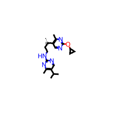 Cc1nc(NCC[C@H](C)c2cnc(OC3CC3)nc2C)ncc1C(C)C